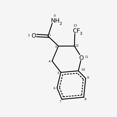 NC(=O)C1Cc2ccccc2OC1C(F)(F)F